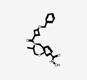 CC1COc2cc(C(=O)NO)ccc2CN1C(=O)C1CC(OCc2ccccc2)C1